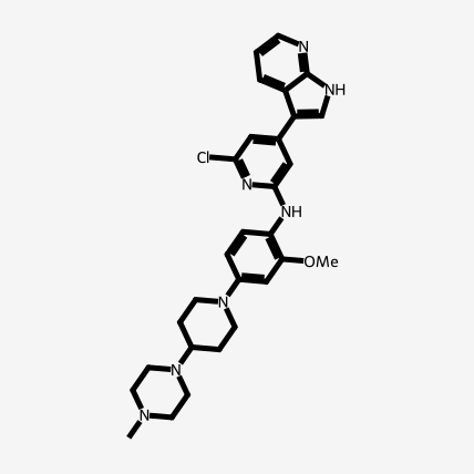 COc1cc(N2CCC(N3CCN(C)CC3)CC2)ccc1Nc1cc(-c2c[nH]c3ncccc23)cc(Cl)n1